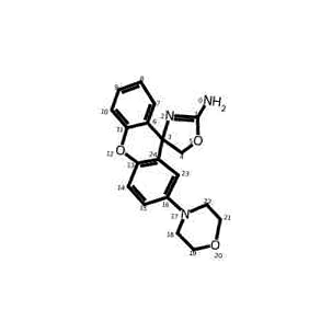 NC1=NC2(CO1)c1ccccc1Oc1ccc(N3CCOCC3)cc12